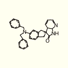 O=C1NC2N=CC=CC2[C@]12Cc1ccc(N(Cc3ccccc3)Cc3ccccc3)cc1C2